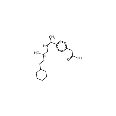 CC(NC[C@@H](O)C[CH]C1CCCCC1)c1ccc(CC(=O)O)cc1